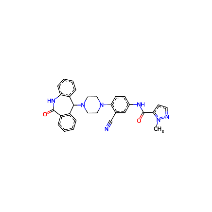 Cn1nccc1C(=O)Nc1ccc(N2CCN(C3c4ccccc4NC(=O)c4ccccc43)CC2)c(C#N)c1